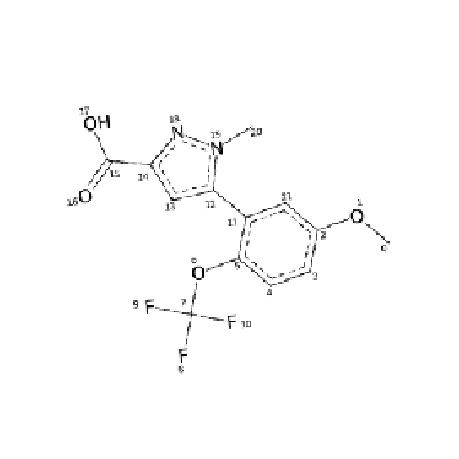 COc1ccc(OC(F)(F)F)c(-c2cc(C(=O)O)nn2C)c1